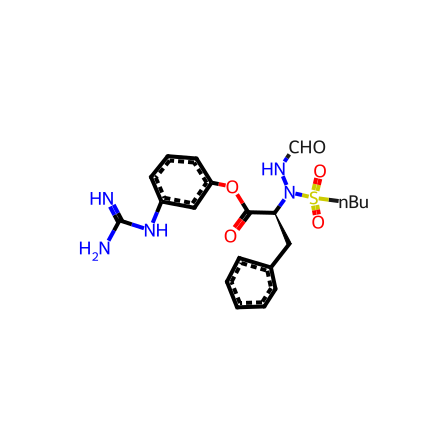 CCCCS(=O)(=O)N(NC=O)[C@@H](Cc1ccccc1)C(=O)Oc1cccc(NC(=N)N)c1